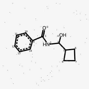 O=C(NC(O)C1CCC1)c1ccccc1